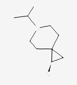 CC(C)N1CCC2(CC1)C[C@H]2N